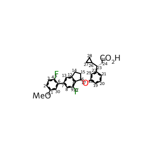 COc1ccc(F)c(-c2cc(F)c3c(c2)CC[C@H]3Oc2cccc([C@@H](CC(=O)O)C3CC3)c2)c1